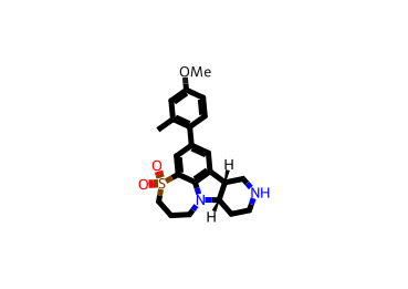 COc1ccc(-c2cc3c4c(c2)S(=O)(=O)CCCN4[C@H]2CCNC[C@@H]32)c(C)c1